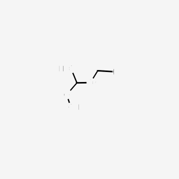 COC(C)OCI